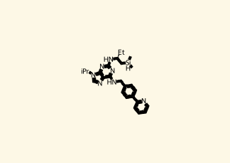 CC[C@H](C[SiH](C)C)Nc1nc(NCc2ccc(-c3ccccn3)cc2)c2ncn(C(C)C)c2n1